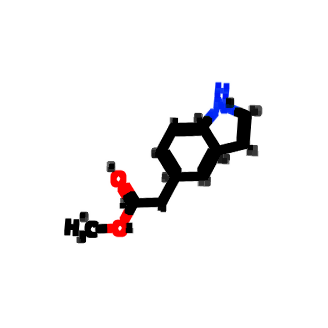 COC(=O)Cc1ccc2[nH]ccc2c1